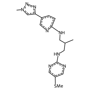 CSc1cnc(NCC(C)CNc2ccc(-c3cn(C)nn3)cn2)nc1